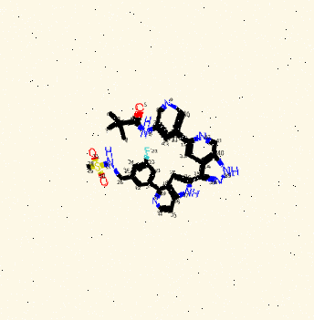 CC(C)(C)C(=O)Nc1cncc(-c2cc3c(-c4cc5c(-c6cc(F)cc(CNS(C)(=O)=O)c6)nccc5[nH]4)n[nH]c3cn2)c1